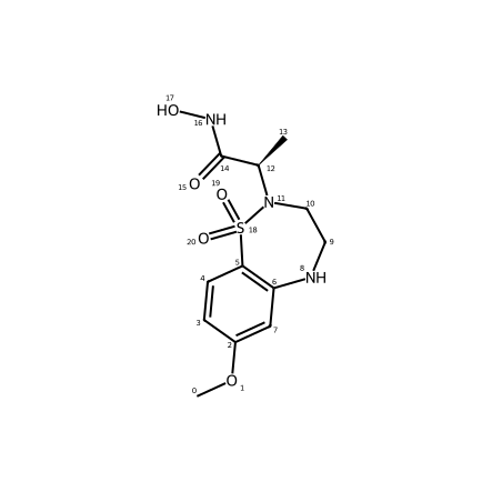 COc1ccc2c(c1)NCCN([C@H](C)C(=O)NO)S2(=O)=O